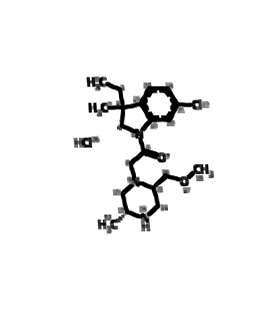 CCC1(C)CN(C(=O)CN2C[C@@H](C)NC[C@@H]2COC)c2cc(Cl)ccc21.Cl